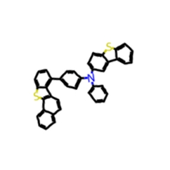 c1ccc(N(c2ccc(-c3cccc4sc5c6ccccc6ccc5c34)cc2)c2ccc3sc4ccccc4c3c2)cc1